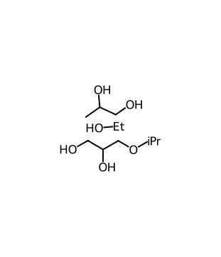 CC(C)OCC(O)CO.CC(O)CO.CCO